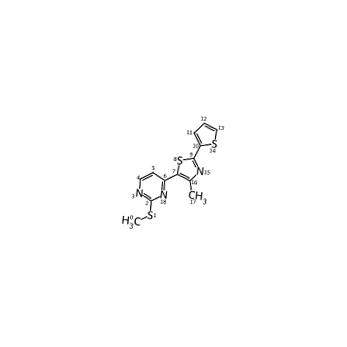 CSc1nccc(-c2sc(-c3cccs3)nc2C)n1